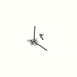 C=CCN=O.CCCCCCCCCCCCCC(CCCCCCCCCCCCC)(C(=O)[O-])C(C(=O)O)S(=O)(=O)O.[Na+]